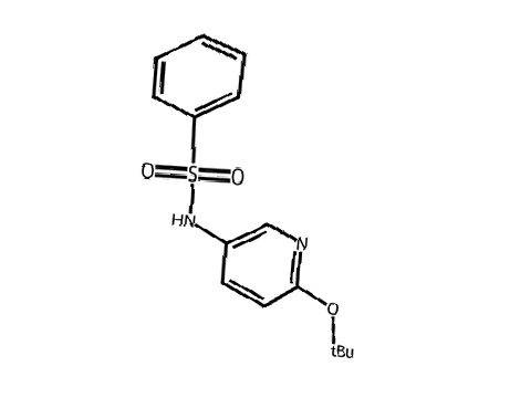 CC(C)(C)Oc1ccc(NS(=O)(=O)c2ccccc2)cn1